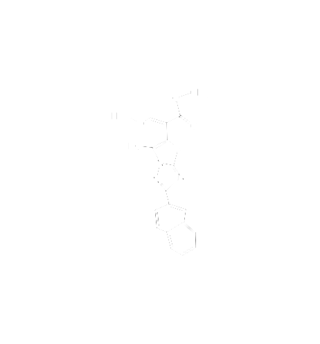 CO/C=C(/C(=O)OC)c1sc2nc(-c3ccc4ccccc4c3)nn2c1C